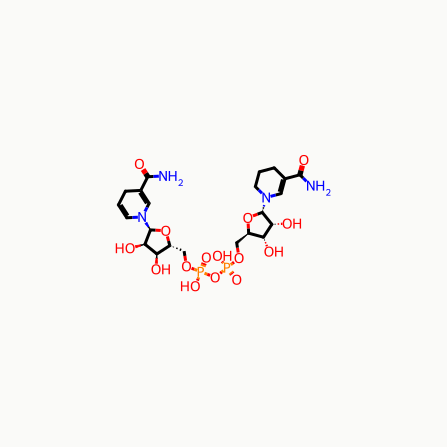 NC(=O)C1=CN([C@H]2O[C@H](COP(=O)(O)OP(=O)(O)OC[C@H]3O[C@H](N4C=C(C(N)=O)CCC4)[C@H](O)[C@@H]3O)[C@@H](O)[C@H]2O)C=CC1